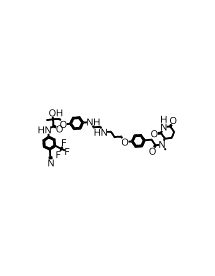 CN(C(=O)Cc1ccc(OCCCNCCNc2ccc(OCC(C)(O)C(=O)Nc3ccc(C#N)c(C(F)(F)F)c3)cc2)cc1)C1CCC(=O)NC1=O